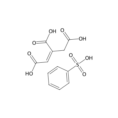 O=C(O)C=C(CC(=O)O)C(=O)O.O=S(=O)(O)c1ccccc1